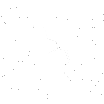 N#CSC=CC(=O)/C=C\SC#N